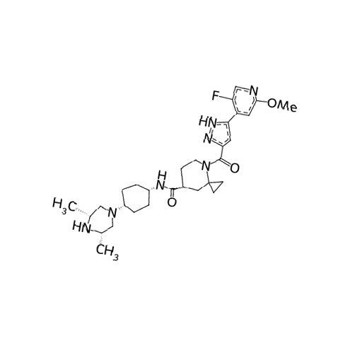 COc1cc(-c2cc(C(=O)N3CC[C@H](C(=O)N[C@H]4CC[C@@H](N5C[C@@H](C)N[C@@H](C)C5)CC4)CC34CC4)n[nH]2)c(F)cn1